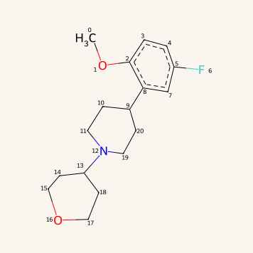 COc1ccc(F)cc1C1CCN(C2CCOCC2)CC1